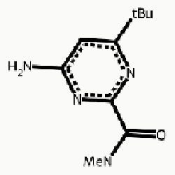 CNC(=O)c1nc(N)cc(C(C)(C)C)n1